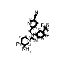 N#Cc1ccc(Cn2c(N3CC[C@@H](F)[C@H](N)C3)nc3cc(F)c(C(F)(F)F)cc32)nc1